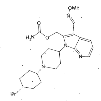 CON=Cc1c(COC(N)=O)n(C2CCN([C@H]3CC[C@@H](C(C)C)CC3)CC2)c2ncccc12